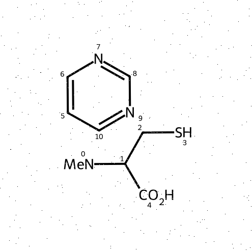 CNC(CS)C(=O)O.c1cncnc1